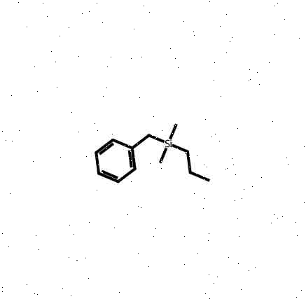 CCC[Si](C)(C)Cc1ccccc1